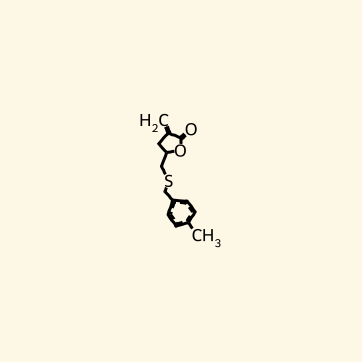 C=C1CC(CSCc2ccc(C)cc2)OC1=O